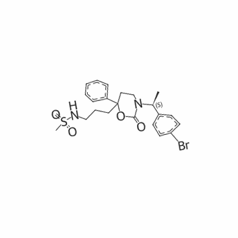 C[C@@H](c1ccc(Br)cc1)N1CCC(CCCNS(C)(=O)=O)(c2ccccc2)OC1=O